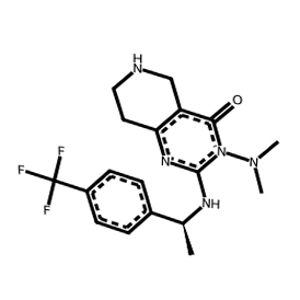 C[C@H](Nc1nc2c(c(=O)n1N(C)C)CNCC2)c1ccc(C(F)(F)F)cc1